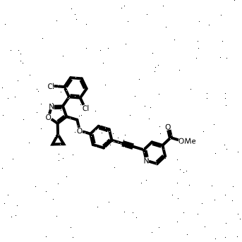 COC(=O)c1ccnc(C#Cc2ccc(OCc3c(-c4c(Cl)cccc4Cl)noc3C3CC3)cc2)c1